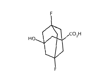 O=C(O)C12CC3(O)CC(F)(CC(F)(C3)C1)C2